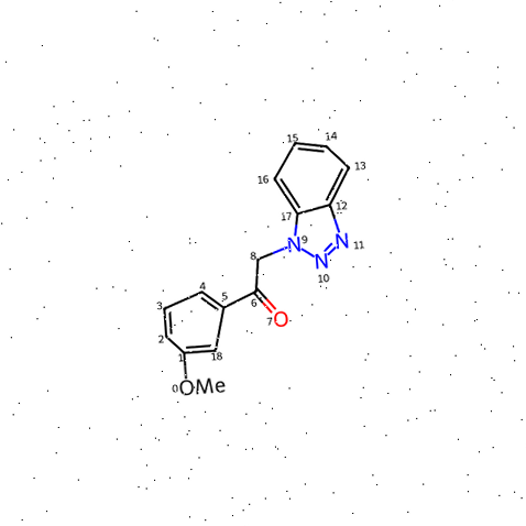 COc1cccc(C(=O)Cn2nnc3ccccc32)c1